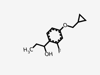 CCC(O)c1ccc(OCC2CC2)cc1F